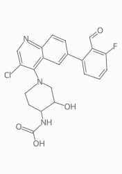 O=Cc1c(F)cccc1-c1ccc2ncc(Cl)c(N3CCC(NC(=O)O)C(O)C3)c2c1